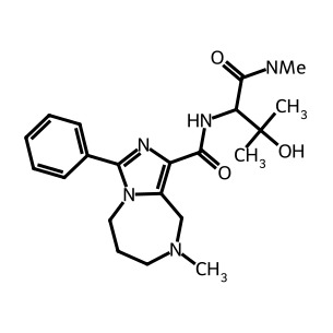 CNC(=O)C(NC(=O)c1nc(-c2ccccc2)n2c1CN(C)CCC2)C(C)(C)O